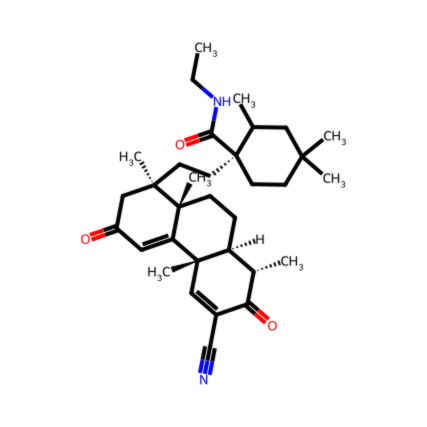 CCNC(=O)[C@]1(CC[C@]2(C)CC(=O)C=C3[C@@]4(C)C=C(C#N)C(=O)[C@@H](C)[C@@H]4CC[C@]32C)CCC(C)(C)CC1C